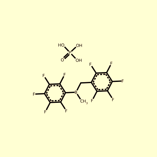 CB(Cc1c(F)c(F)c(F)c(F)c1F)c1c(F)c(F)c(F)c(F)c1F.O=P(O)(O)O